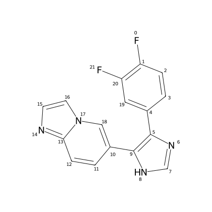 Fc1ccc(-c2nc[nH]c2-c2ccc3nccn3c2)cc1F